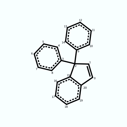 C1=CC(c2ccccc2)(c2ccccc2)c2ccccc21